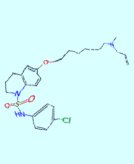 C=CCN(C)CCCCCCOc1ccc2c(c1)CCCN2S(=O)(=O)Nc1ccc(Cl)cc1